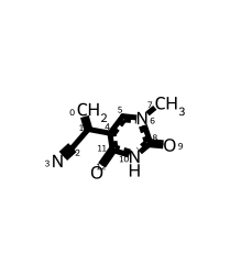 C=C(C#N)c1cn(C)c(=O)[nH]c1=O